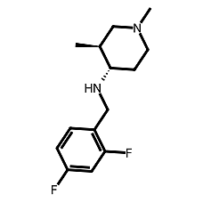 C[C@H]1CN(C)CC[C@@H]1NCc1ccc(F)cc1F